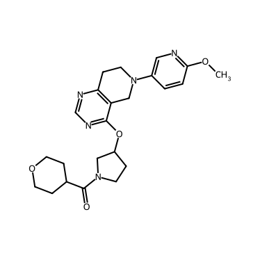 COc1ccc(N2CCc3ncnc(OC4CCN(C(=O)C5CCOCC5)C4)c3C2)cn1